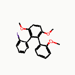 COc1ccccc1-c1c(OC)ccc(OC)c1-c1ccccc1I